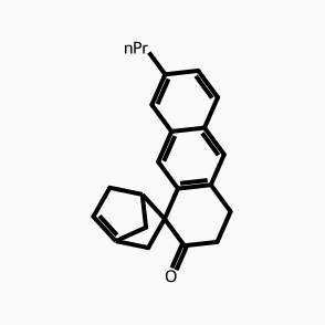 CCCc1ccc2cc3c(cc2c1)C1(CC2=CCC1C2)C(=O)CC3